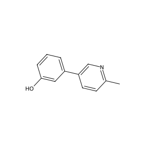 Cc1ccc(-c2cccc(O)c2)cn1